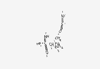 C.C.C.F.N=C=O.N=C=O